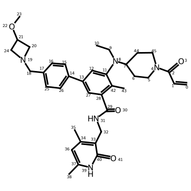 C=CC(=O)N1CCC(N(CC)c2cc(-c3ccc(CN4CC(OC)C4)cc3)cc(C(=O)NCc3c(C)cc(C)[nH]c3=O)c2C)CC1